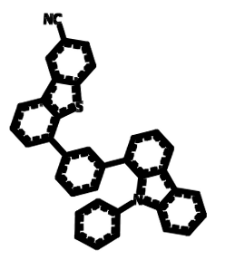 N#Cc1ccc2sc3c(-c4cccc(-c5cccc6c7ccccc7n(-c7ccccc7)c56)c4)cccc3c2c1